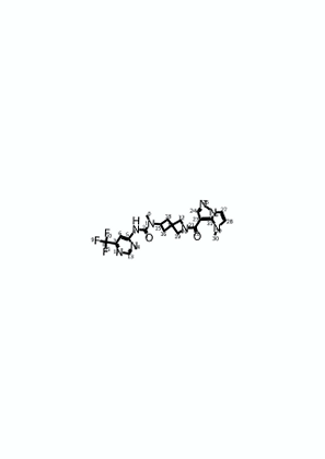 CN(C(=O)Nc1cc(C(F)(F)F)ncn1)C1CC2(C1)CN(C(=O)c1cnn3ccn(C)c13)C2